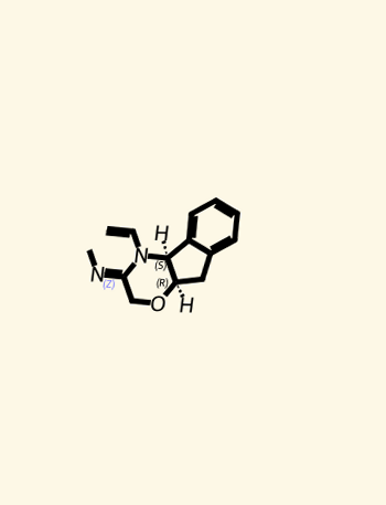 C=CN1/C(=N\C)CO[C@@H]2Cc3ccccc3[C@@H]21